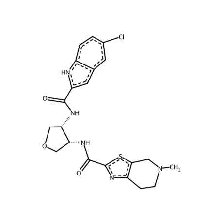 CN1CCc2nc(C(=O)N[C@@H]3COC[C@@H]3NC(=O)c3cc4cc(Cl)ccc4[nH]3)sc2C1